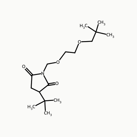 CC(C)(C)COCCOCN1C(=O)CC(C(C)(C)C)C1=O